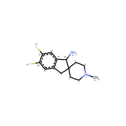 CN1CCC2(CC1)Cc1cc(F)c(F)cc1C2N